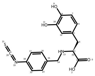 O=C(O)[C@H](Cc1ccc(O)c(O)c1)NCc1ccc(N=C=S)cc1